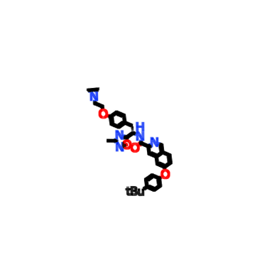 Cc1noc([C@H](Cc2ccc(OCCN3CC3)cc2)NC(=O)c2cc3cc(Oc4ccc(C(C)(C)C)cc4)ccc3cn2)n1